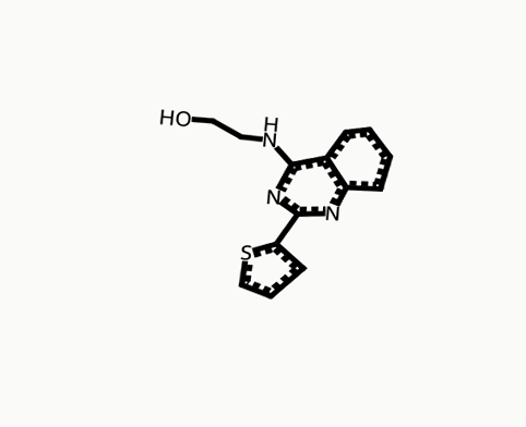 OCCNc1nc(-c2cccs2)nc2ccccc12